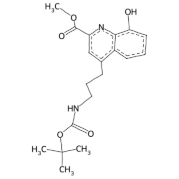 COC(=O)c1cc(CCCNC(=O)OC(C)(C)C)c2cccc(O)c2n1